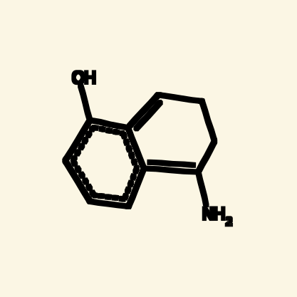 NC1=c2cccc(O)c2=CCC1